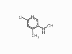 Cc1cc(Cl)ncc1NO